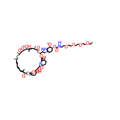 CCOCCOCCOCCOCCNC(=O)O[C@@H]1CC[C@@H](C[C@@H](N)[C@@H]2CC(=O)[C@H](C)/C=C(\C)[C@@H](O)[C@@H](OC)C(=O)[C@H](C)C[C@H](C)/C=C/C=C/C=C(\C)[C@@H](OC)C[C@@H]3CC[C@@H](C)[C@@](O)(O3)C(=O)C(=O)N3CCCC[C@H]3C(=O)O2)C[C@H]1OC